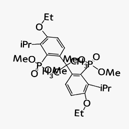 CCOc1ccc(C(C)(C)c2ccc(OCC)c(C(C)C)c2P(=O)(OC)OC)c(P(=O)(OC)OC)c1C(C)C